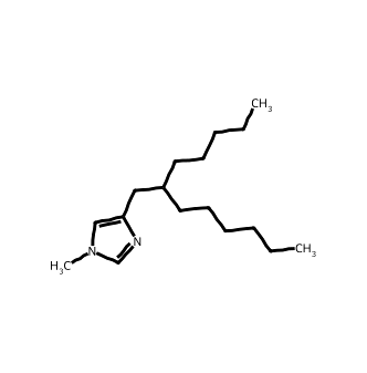 CCCCCCC(CCCCC)Cc1cn(C)cn1